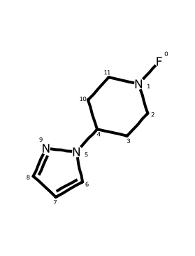 FN1CCC(n2cccn2)CC1